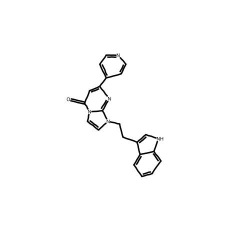 O=c1cc(-c2ccncc2)nc2n(CCc3c[nH]c4ccccc34)ccn12